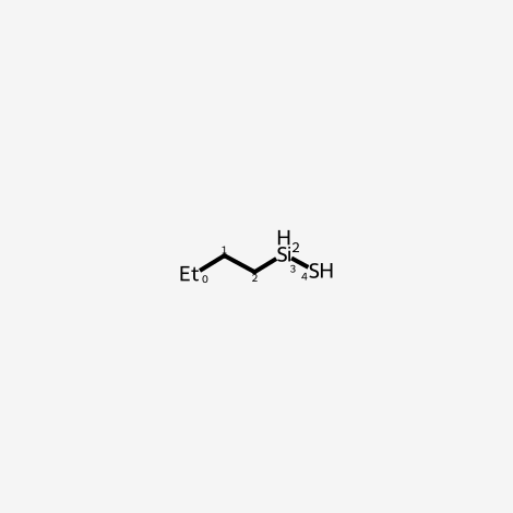 CCCC[SiH2]S